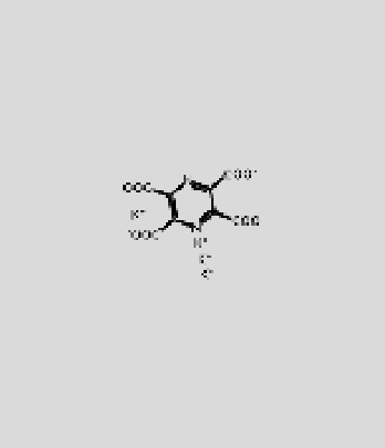 O=C([O-])c1nc(C(=O)[O-])c(C(=O)[O-])nc1C(=O)[O-].[K+].[K+].[K+].[K+]